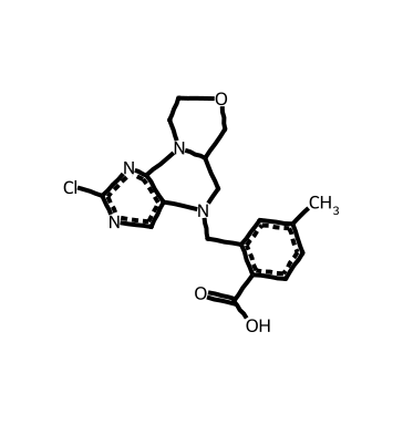 Cc1ccc(C(=O)O)c(CN2CC3COCCN3c3nc(Cl)ncc32)c1